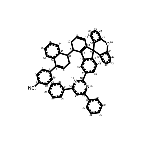 N#Cc1ccc(C2=CCC(C3CC=CC4=C3c3cc(-c5nc(-c6ccccc6)cc(-c6ccccc6)n5)ccc3C43c4ccccc4Oc4ccccc43)c3ccccc32)cc1